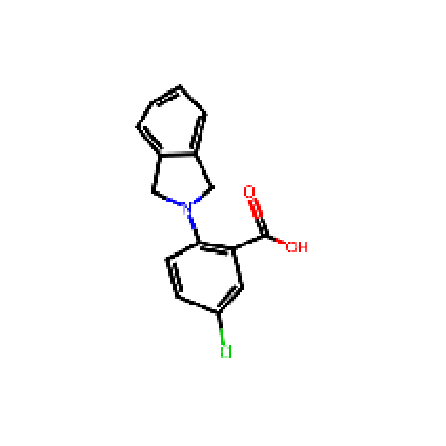 O=C(O)c1cc(Cl)ccc1N1Cc2ccccc2C1